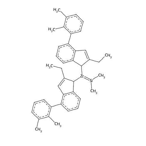 CCC1=Cc2c(-c3cccc(C)c3C)cccc2[CH]1[Zr]([CH]1C(CC)=Cc2c(-c3cccc(C)c3C)cccc21)=[Si](C)C